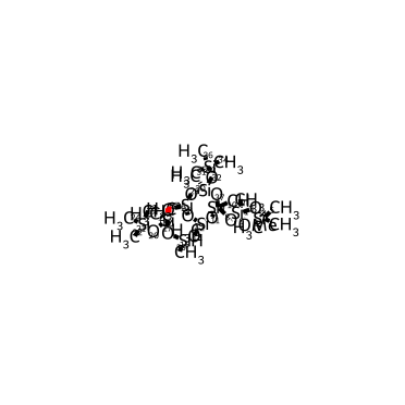 CO[Si](C)(O[Si](C)(C)C)O[Si]1(C)O[Si]2(C)O[SiH](C)O[Si](C)(O[Si](C)(C)C)O[Si](C)(O2)O[Si](C)(O[Si](C)(C)C)O1